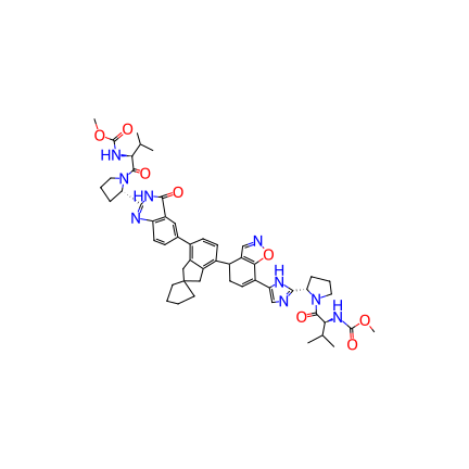 COC(=O)N[C@H](C(=O)N1CCC[C@H]1c1ncc(C2=CCC(c3ccc(-c4ccc5nc([C@@H]6CCCN6C(=O)[C@@H](NC(=O)OC)C(C)C)[nH]c(=O)c5c4)c4c3CC3(CCCC3)C4)c3cnoc32)[nH]1)C(C)C